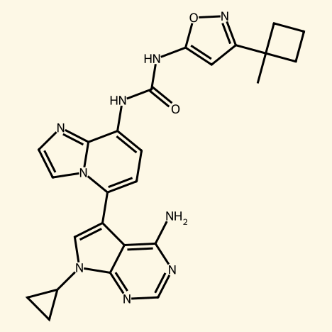 CC1(c2cc(NC(=O)Nc3ccc(-c4cn(C5CC5)c5ncnc(N)c45)n4ccnc34)on2)CCC1